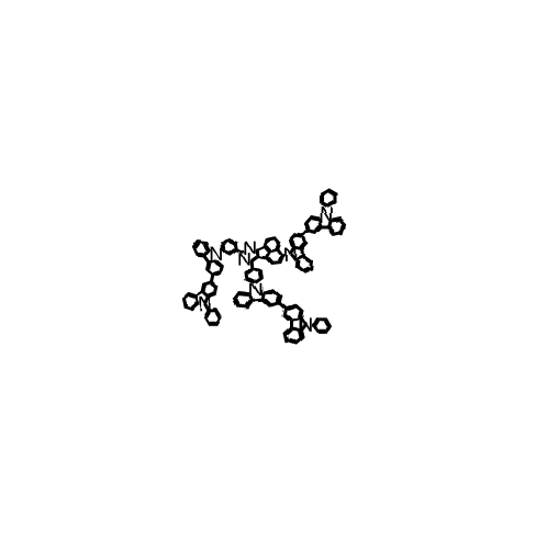 c1ccc(-n2c3ccccc3c3cc(-c4ccc5c(c4)c4ccccc4n5-c4ccc(-c5nc(-c6cccc(-n7c8ccccc8c8cc(-c9ccc%10c(c9)c9ccccc9n%10-c9ccccc9)ccc87)c6)nc6c5-c5ccc(-n7c8ccccc8c8cc(-c9ccc%10c(c9)c9ccccc9n%10-c9ccccc9)ccc87)c7cccc-6c57)cc4)ccc32)cc1